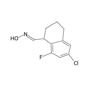 O/N=C/C1CCCc2cc(Cl)cc(F)c21